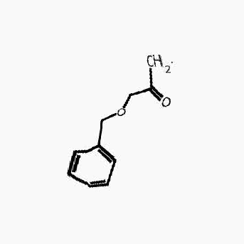 [CH2]C(=O)COCc1ccccc1